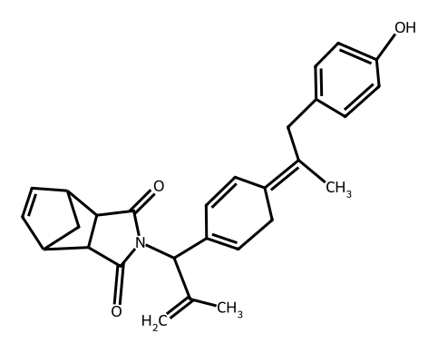 C=C(C)C(C1=CCC(=C(C)Cc2ccc(O)cc2)C=C1)N1C(=O)C2C3C=CC(C3)C2C1=O